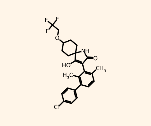 Cc1ccc(-c2ccc(Cl)cc2)c(C)c1C1=C(O)C2(CCC(OCC(F)(F)F)CC2)NC1=O